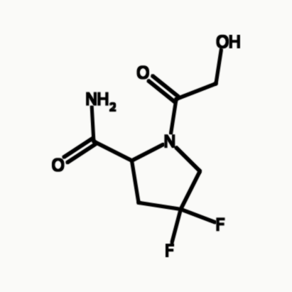 NC(=O)C1CC(F)(F)CN1C(=O)CO